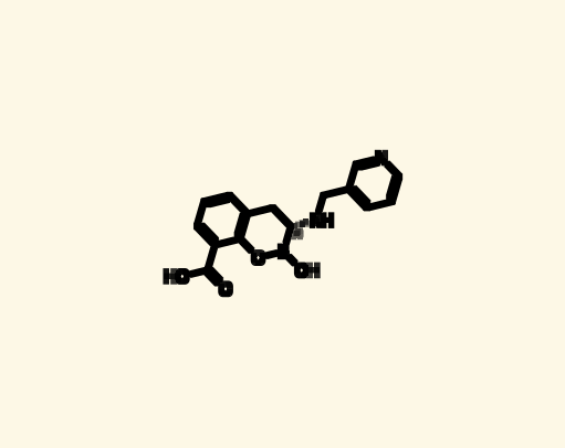 O=C(O)c1cccc2c1OB(O)[C@@H](NCc1cccnc1)C2